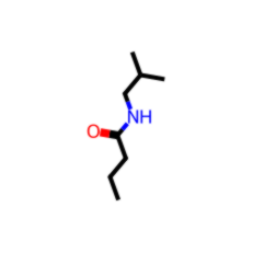 CCCC(=O)NCC(C)C